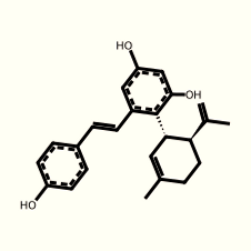 C=C(C)[C@H]1CCC(C)=C[C@@H]1c1c(O)cc(O)cc1/C=C/c1ccc(O)cc1